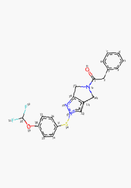 O=C(Cc1ccccc1)N1Cc2cn(Sc3ccc(OC(F)F)cc3)nc2C1